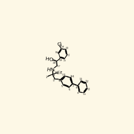 CCC(C)(Cc1ccc(-c2ccccc2)cc1)NCC(O)c1cccc(Cl)c1